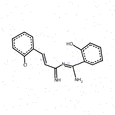 N=C(/C=C/c1ccccc1Cl)/N=C(\N)c1ccccc1O